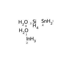 O.O.[InH3].[SiH4].[SnH2]